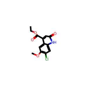 CCOC(=O)c1cc(=O)[nH]c2cc(Cl)c(OC)cc12